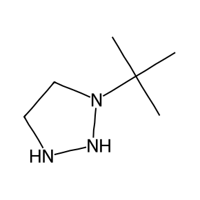 CC(C)(C)N1CCNN1